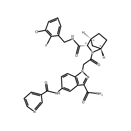 NC(=O)c1nn(CC(=O)N2[C@H]3CC[C@@H](C3)[C@H]2C(=O)NCc2cccc(Cl)c2F)c2ccc(NC(=O)c3cccnc3)cc12